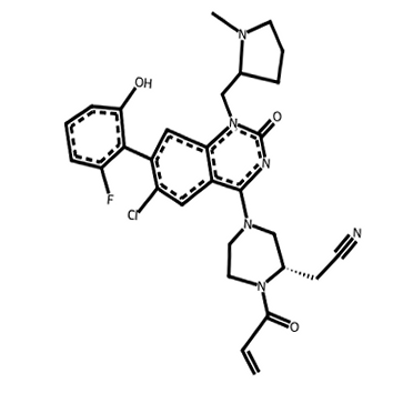 C=CC(=O)N1CCN(c2nc(=O)n(CC3CCCN3C)c3cc(-c4c(O)cccc4F)c(Cl)cc23)C[C@@H]1CC#N